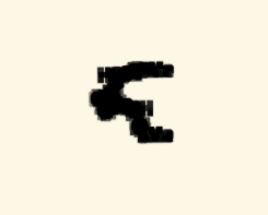 CSc1ccc(SCC(O)COc2ccc(C3(c4ccc(OCC(O)CSc5ccc(SC)cc5)cc4)c4ccccc4-c4ccccc43)cc2)cc1